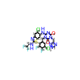 Cn1cnc(Cn2c(=O)nc(Nc3cc4sc(NCC(F)F)nc4cc3Cl)n(Cc3cc(F)c(F)c(Cl)c3)c2=O)n1